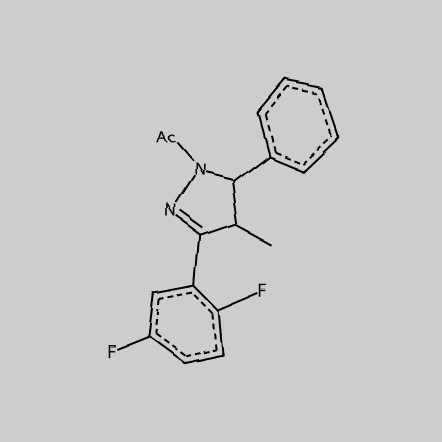 CC(=O)N1N=C(c2cc(F)ccc2F)C(C)C1c1ccccc1